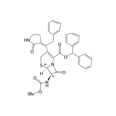 CC(C)(C)OC(=O)N[C@@H]1C(=O)N2C(C(=O)OC(c3ccccc3)c3ccccc3)=C(C(Cc3ccccc3)=C3CCNC3=O)CS[C@H]12